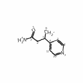 [CH2]C(CC(N)=O)c1ccncc1